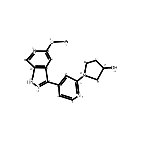 CC(C)Oc1cc2c(-c3ccnc(N4CCC(O)C4)c3)n[nH]c2cn1